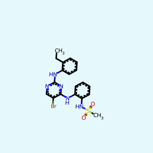 CCc1ccccc1Nc1ncc(Br)c(Nc2ccccc2NS(C)(=O)=O)n1